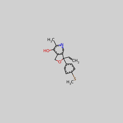 C=CC1(c2ccc(SC)cc2)OCc2c1cnc(C)c2O